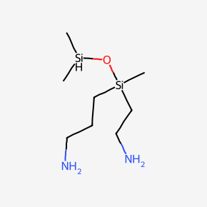 C[SiH](C)O[Si](C)(CCN)CCCN